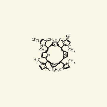 Cn1cc[n+](C)c1-c1c2nc(c(-c3n(C)cc[n+]3C)c3ccc([nH]3)c(-c3n(C)cc[n+]3C)c3nc(c(-c4n(C)cc[n+]4C)c4ccc1[nH]4)C=C3)C=C2.[Cl-].[Cl-].[Cl-].[Cl-]